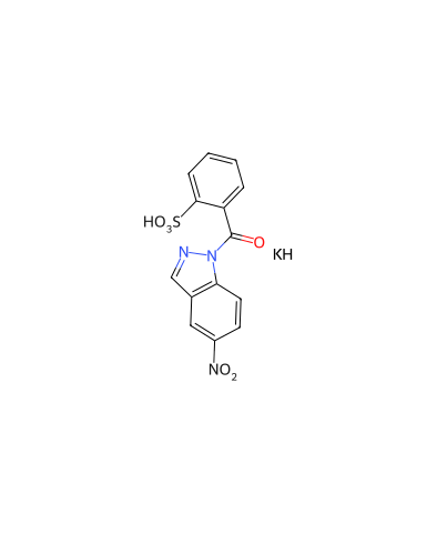 O=C(c1ccccc1S(=O)(=O)O)n1ncc2cc([N+](=O)[O-])ccc21.[KH]